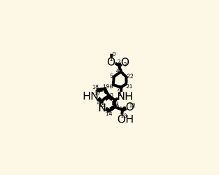 COC(=O)C1CCC(Nc2c(C(=O)O)cnc3[nH]ccc23)CC1